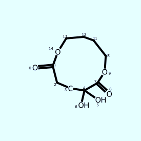 O=C1CCC(O)(O)C(=O)OCCCCO1